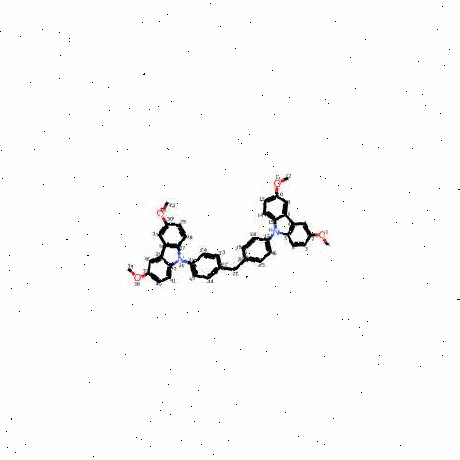 COc1ccc2c(c1)c1cc(OC)ccc1n2-c1ccc(Cc2ccc(-n3c4ccc(OC)cc4c4cc(OC)ccc43)cc2)cc1